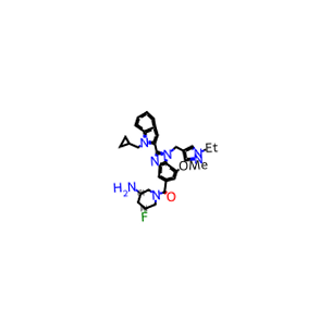 CCn1cc(Cn2c(-c3cc4ccccc4n3CC3CC3)nc3cc(C(=O)N4C[C@H](N)C[C@@H](F)C4)cc(OC)c32)cn1